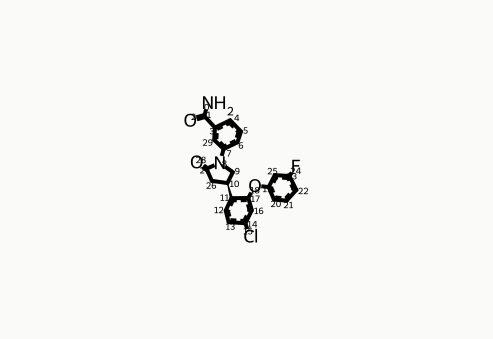 NC(=O)c1cccc(N2C[C@@H](c3ccc(Cl)cc3Oc3cccc(F)c3)CC2=O)c1